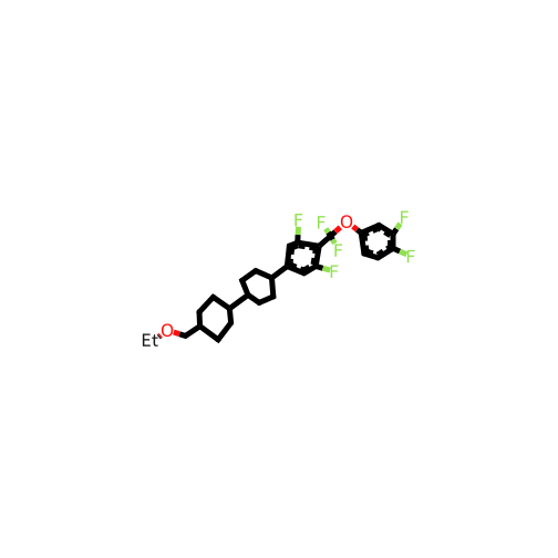 CCOCC1CCC(C2CCC(c3cc(F)c(C(F)(F)Oc4ccc(F)c(F)c4)c(F)c3)CC2)CC1